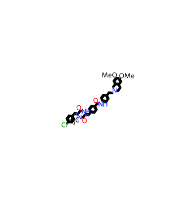 COc1cc2c(cc1OC)CN(CCc1ccc(NC(=O)c3ccc(/C=c4\[nH]c(=O)/c(=C/c5ccc(Cl)cc5)n(C)c4=O)cc3)cc1)CC2